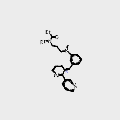 CCC(=O)N(CC)CCCN(C)c1cccc(/C=C2\CCCN=C2c2cccnc2)c1